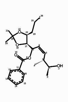 C[C@H](O)[C@H](C)/C=C\C(OC(=O)c1ccccc1)[C@H]1OC(C)(C)O[C@H]1CCI